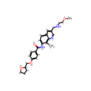 CCCOCCNCc1cnc2c(C)c(NC(=O)c3ccc(OCC4CCCO4)cc3)ccc2c1